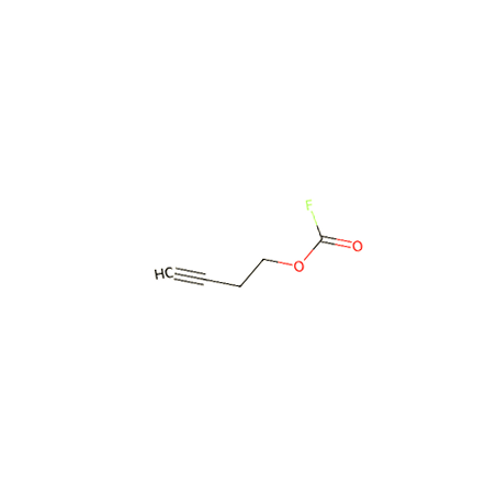 C#CCCOC(=O)F